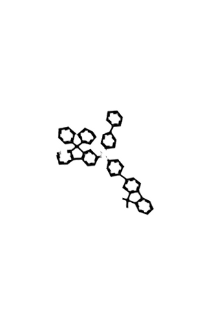 CC1(C)c2ccccc2-c2ccc(-c3ccc(N(c4ccc(-c5ccccc5)cc4)c4ccc5c(c4)C(c4ccccc4)(c4ccccc4)c4ccccc4-5)cc3)cc21